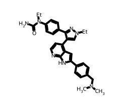 CCN(C(N)=O)c1ccc(-c2nn(CC)cc2-c2ccnc3[nH]c(-c4ccc(CN(C)C)cc4)cc23)cc1